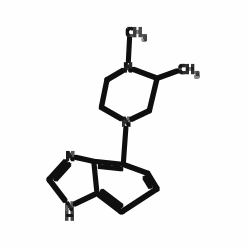 CC1CN(c2cccc3[nH]cnc23)CCN1C